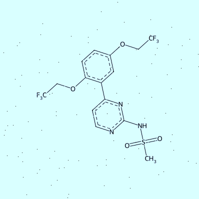 CS(=O)(=O)Nc1nccc(-c2cc(OCC(F)(F)F)ccc2OCC(F)(F)F)n1